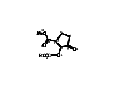 CCOC(=O)OC1C(=O)CCN1C(=O)OC